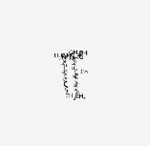 CCCCCCCCCCCCCCCCCCN(C)CCC(=O)O.CCCCCCCCCCCCCCCCCCN(C)CCC(=O)O.[Co]